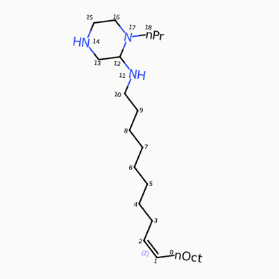 CCCCCCCC/C=C\CCCCCCCCNC1CNCCN1CCC